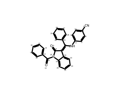 N#Cc1ccc(NC(=C2C(=O)N(C(=O)c3ccccc3)c3ccccc32)c2ccccc2)cc1